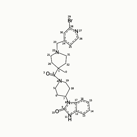 CC1(C(=O)N2CCC(n3c(=O)[nH]c4ccccc43)CC2)CCN(Cc2ccnc(Br)c2)CC1